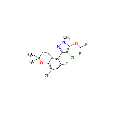 Cn1nc(-c2c(F)cc(Cl)c3c2CCC(C)(C)O3)c(Cl)c1OC(F)F